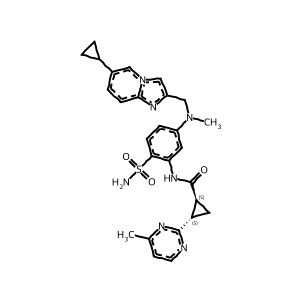 Cc1ccnc([C@H]2C[C@@H]2C(=O)Nc2cc(N(C)Cc3cn4cc(C5CC5)ccc4n3)ccc2S(N)(=O)=O)n1